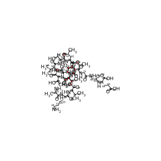 CC(C)C[C@H](NC(=O)[C@H](CC(=O)O)NC(=O)CNC(=O)[C@@H](NC(=O)[C@H](CCCCN)NC(=O)[C@H](C)N)C(C)C)C(=O)N[C@H](C(=O)N[C@H](C(=O)N[C@H](C(=O)N[C@@H](CO)C(=O)N[C@@H](CC(C)C)C(=O)N1CCC[C@H]1C(=O)NCC(=O)NCC(=O)N[C@@H](CCC(=O)O)C(=O)O)C(C)C)[C@@H](C)O)C(C)C